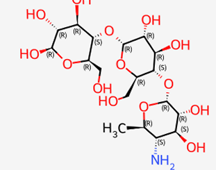 C[C@H]1O[C@H](O[C@H]2[C@H](O)[C@@H](O)[C@@H](O[C@H]3[C@H](O)[C@@H](O)[C@H](O)O[C@@H]3CO)O[C@@H]2CO)[C@H](O)[C@@H](O)[C@@H]1N